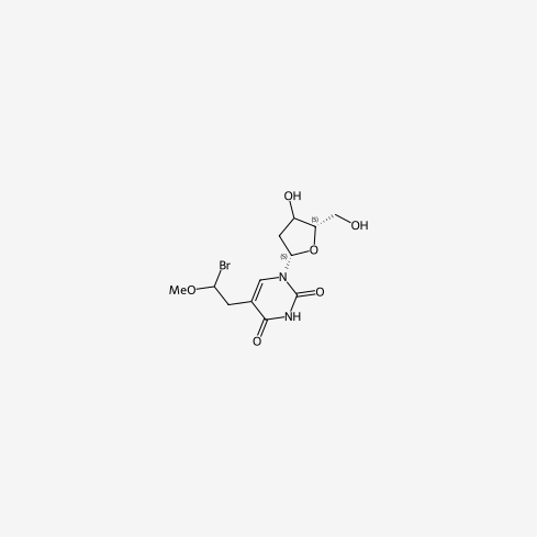 COC(Br)Cc1cn([C@@H]2CC(O)[C@H](CO)O2)c(=O)[nH]c1=O